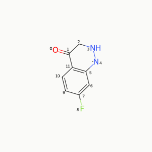 O=C1CN[N]c2cc(F)ccc21